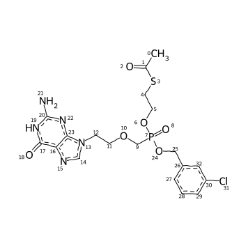 CC(=O)SCCOP(=O)(COCCn1cnc2c(=O)[nH]c(N)nc21)OCc1cccc(Cl)c1